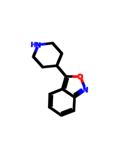 c1ccc2c(C3CCNCC3)onc2c1